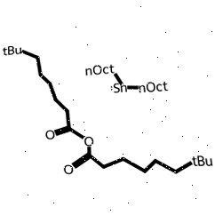 CC(C)(C)CCCCCC(=O)OC(=O)CCCCCC(C)(C)C.CCCCCCC[CH2][Sn][CH2]CCCCCCC